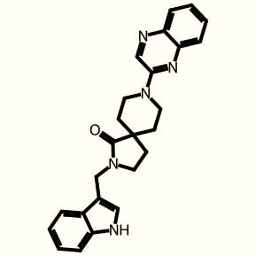 O=C1N(Cc2c[nH]c3ccccc23)CCC12CCN(c1cnc3ccccc3n1)CC2